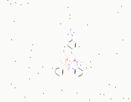 CCOC(=O)CN(c1cccc2c1N(C(=O)CCc1ccc(C#N)cc1)CCC2)S(=O)(=O)c1ccccc1